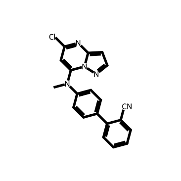 CN(c1ccc(-c2ccccc2C#N)cc1)c1cc(Cl)nc2ccnn12